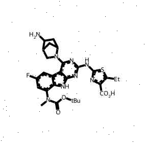 CCc1sc(Nc2nc(N3CC4CC3CC4N)c3c(n2)[nH]c2c(N(C)C(=O)OC(C)(C)C)cc(F)cc23)nc1C(=O)O